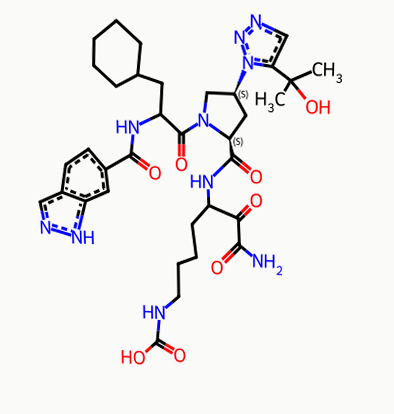 CC(C)(O)c1cnnn1[C@H]1C[C@@H](C(=O)NC(CCCCNC(=O)O)C(=O)C(N)=O)N(C(=O)C(CC2CCCCC2)NC(=O)c2ccc3cn[nH]c3c2)C1